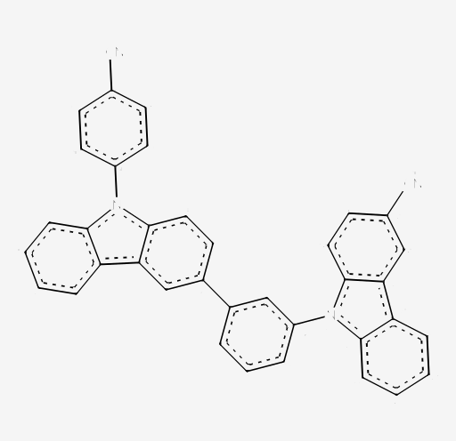 N#Cc1ccc(-n2c3ccccc3c3cc(-c4cccc(-n5c6ccccc6c6cc(C#N)ccc65)c4)ccc32)cc1